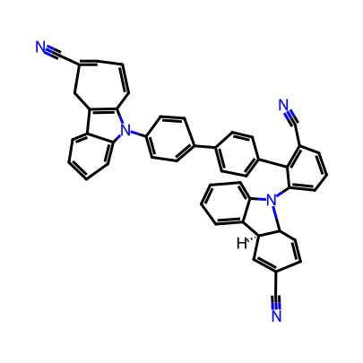 N#CC1=C[C@H]2c3ccccc3N(c3cccc(C#N)c3-c3ccc(-c4ccc(-n5c6c(c7ccccc75)CC(C#N)=CC=C6)cc4)cc3)C2C=C1